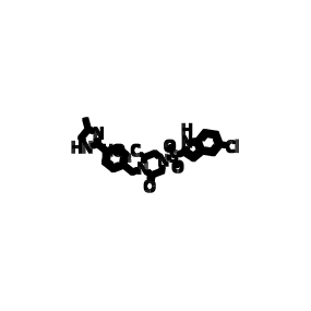 CC1CNC(c2ccc(CN3C(=O)CN(S(=O)(=O)c4cc5cc(Cl)ccc5[nH]4)C[C@@H]3C(=O)O)cc2)=N1